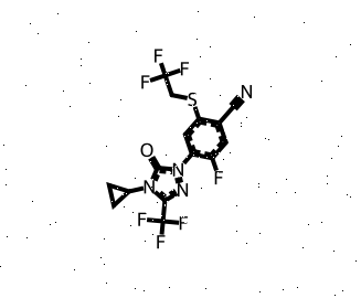 N#Cc1cc(F)c(-n2nc(C(F)(F)F)n(C3CC3)c2=O)cc1SCC(F)(F)F